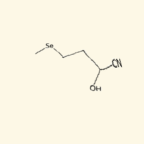 C[Se]CCC(O)C#N